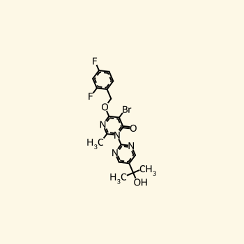 Cc1nc(OCc2ccc(F)cc2F)c(Br)c(=O)n1-c1ncc(C(C)(C)O)cn1